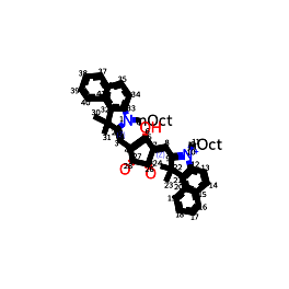 CCCCCCCCN1/C(=C\C2=C(O)C(=C/C3=[N+](CCCCCCCC)c4ccc5ccccc5c4C3(C)C)/C(=O)C2=O)C(C)(C)c2c1ccc1ccccc21